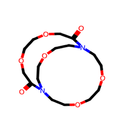 O=C1COCCOCC(=O)N2CCOCCOCCN1CCOCC2